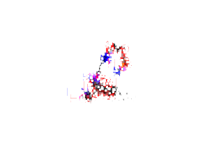 CCC(C)(CC(C)(C)C(=O)OCc1cn(CCCCCC(=O)NN=C(CO)[C@]2(O)Cc3c(O)c4c(c(O)c3[C@@H](O[C@H]3C[C@H](N)[C@H](O)[C@H](C)O3)C2)C(=O)c2c(OC)cccc2C4=O)nn1)C(=O)OCCOP(=O)(O)OCC[N+](C)(C)C